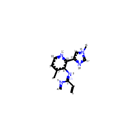 C=C/C(N=C)=N/c1c(C)ccnc1-c1cn(C)cn1